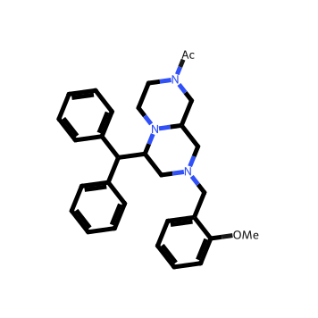 COc1ccccc1CN1CC2CN(C(C)=O)CCN2C(C(c2ccccc2)c2ccccc2)C1